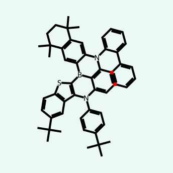 CC(C)(C)c1ccc(N2c3cccc4c3B(c3cc5c(cc3N4c3ccccc3-c3ccccc3)C(C)(C)CCC5(C)C)c3sc4ccc(C(C)(C)C)cc4c32)cc1